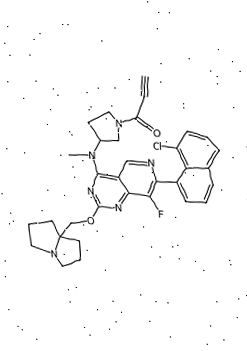 C#CC(=O)N1CCC(N(C)c2nc(OCC34CCCN3CCC4)nc3c(F)c(-c4cccc5cccc(Cl)c45)ncc23)C1